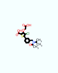 CC(=O)N(Cc1cccc(-c2sc(C(=O)O)c(OCC(=O)O)c2Cl)c1)C(C)C